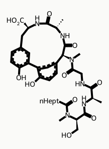 CCCCCCCC(=O)N(C)[C@H](CO)C(=O)N[C@H](C)C(=O)NCC(=O)N(C)[C@@H]1C(=O)N[C@@H](C)C(=O)N[C@H](C(=O)O)Cc2ccc(O)c(c2)-c2cc1ccc2O